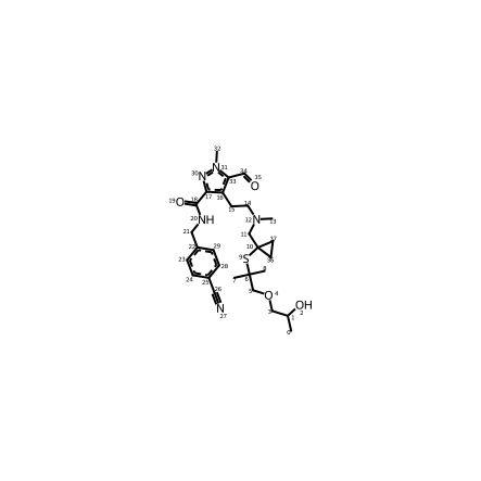 CC(O)COCC(C)(C)SC1(CN(C)CCc2c(C(=O)NCc3ccc(C#N)cc3)nn(C)c2C=O)CC1